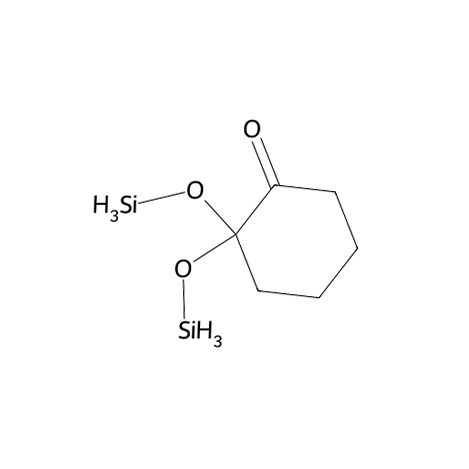 O=C1CCCCC1(O[SiH3])O[SiH3]